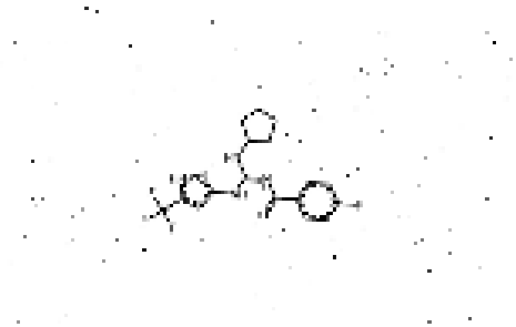 O=C(/N=C(\Nc1cc(C(F)(F)F)[nH]n1)NC1CCCC1)c1ccc(F)cc1